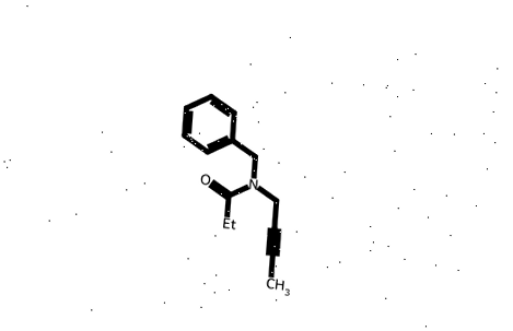 CC#CCN(Cc1ccccc1)C(=O)CC